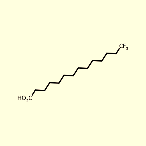 O=C(O)CCCCCCCCCCCCC(F)(F)F